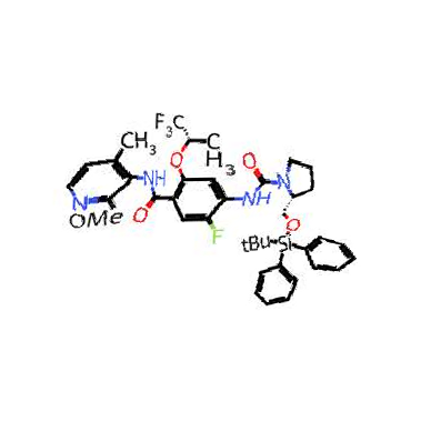 COc1nccc(C)c1NC(=O)c1cc(F)c(NC(=O)N2CCC[C@@H]2CO[Si](c2ccccc2)(c2ccccc2)C(C)(C)C)cc1O[C@@H](C)C(F)(F)F